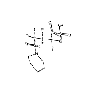 O=S(=O)(N1CCCCC1)C(F)(F)C(F)(F)C(F)(F)S(=O)(=O)S(=O)(=O)O